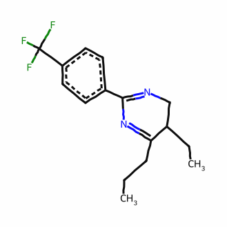 CCCC1=NC(c2ccc(C(F)(F)F)cc2)=NCC1CC